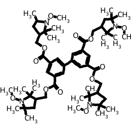 CON1C(C)CC(COC(=O)c2cc(C(=O)OCC3CC(C)(C)N(OC)C3(C)C)cc(-c3cc(C(=O)OCC4CC(C)(C)N(OC)C4(C)C)cc(C(=O)OCC4CC(C)(C)N(OC)C4(C)C)c3)c2)C1(C)C